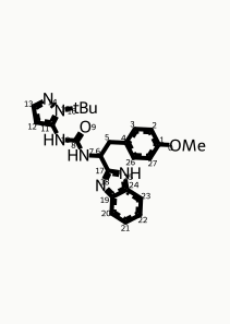 COc1ccc(CC(NC(=O)Nc2ccnn2C(C)(C)C)c2nc3ccccc3[nH]2)cc1